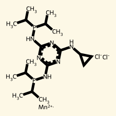 CC(C)P(Nc1nc(NC2CC2)nc(NP(C(C)C)C(C)C)n1)C(C)C.[Cl-].[Cl-].[Mn+2]